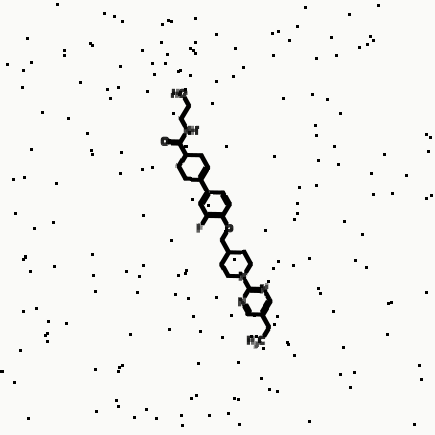 CCc1cnc(N2CCC(COc3ccc(C4=CCC(C(=O)NCCO)CC4)cc3F)CC2)nc1